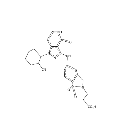 N#CC1CCCCC1n1nc(Nc2ccc3c(c2)CN(CCC(=O)O)S3(=O)=O)c2c(=O)[nH]ccc21